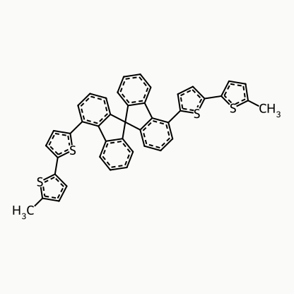 Cc1ccc(-c2ccc(-c3cccc4c3-c3ccccc3C43c4ccccc4-c4c(-c5ccc(-c6ccc(C)s6)s5)cccc43)s2)s1